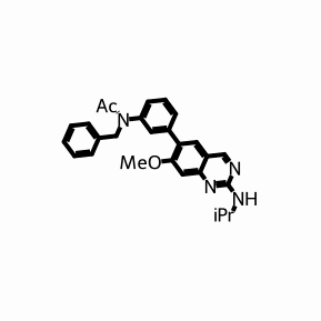 COc1cc2nc(NC(C)C)ncc2cc1-c1cccc(N(Cc2ccccc2)C(C)=O)c1